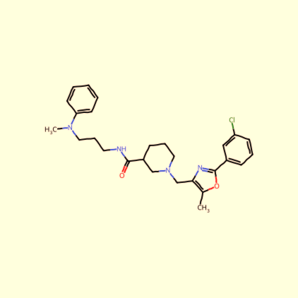 Cc1oc(-c2cccc(Cl)c2)nc1CN1CCCC(C(=O)NCCCN(C)c2ccccc2)C1